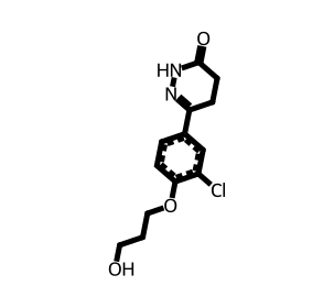 O=C1CCC(c2ccc(OCCCO)c(Cl)c2)=NN1